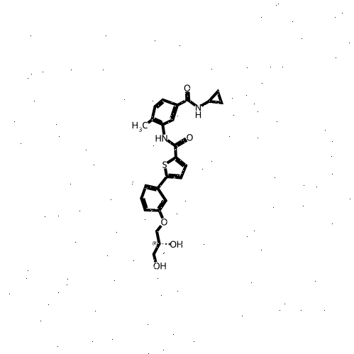 Cc1ccc(C(=O)NC2CC2)cc1NC(=O)c1ccc(-c2cccc(OC[C@H](O)CO)c2)s1